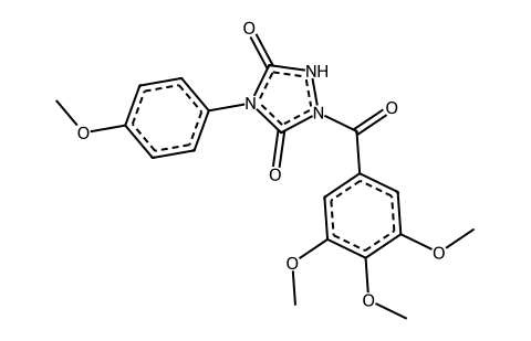 COc1ccc(-n2c(=O)[nH]n(C(=O)c3cc(OC)c(OC)c(OC)c3)c2=O)cc1